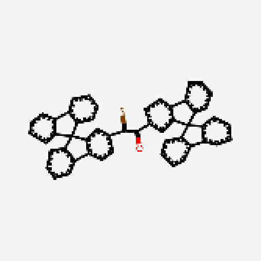 O=C(C(=S)c1ccc2c(c1)C1(c3ccccc3-c3ccccc31)c1ccccc1-2)c1ccc2c(c1)C1(c3ccccc3-c3ccccc31)c1ccccc1-2